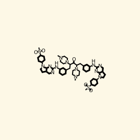 CN1CCN(C(Cc2cccc(Nc3ncc4ccn(-c5ccc(S(C)(=O)=O)cc5)c4n3)c2)C(=O)C(Cc2cccc(Nc3ncc4ccn(-c5ccc(S(C)(=O)=O)cc5)c4n3)c2)N2CCN(C)CC2)CC1